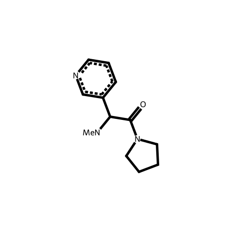 CNC(C(=O)N1CCCC1)c1cccnc1